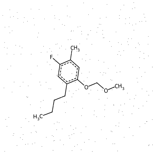 CCCCc1cc(F)c(C)cc1OCOC